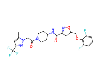 Cc1cc(C(F)(F)F)nn1CC(=O)N1CCC(NC(=O)C2=NOC(COc3c(F)cccc3F)C2)CC1